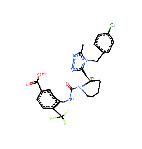 Cc1nnc([C@H]2CCCN2C(=O)Nc2cc(C(=O)O)ccc2C(F)(F)F)n1Cc1ccc(Cl)cc1